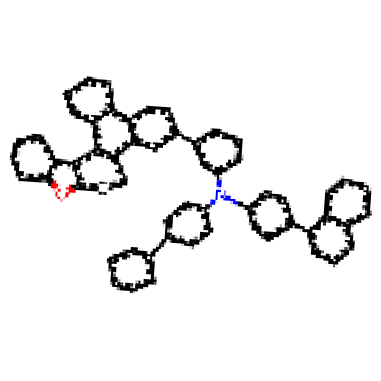 c1ccc(-c2ccc(N(c3ccc(-c4cccc5ccccc45)cc3)c3cccc(-c4ccc5c6ccccc6c6c(ccc7oc8ccccc8c76)c5c4)c3)cc2)cc1